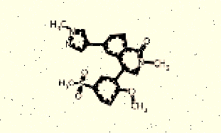 COc1ccc(S(C)(=O)=O)cc1-c1cn(C)c(=O)c2ccc(-c3cnn(C)c3)cc12